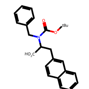 CC(C)(C)OC(=O)N(Cc1ccccc1)C(Cc1ccc2ccccc2c1)C(=O)O